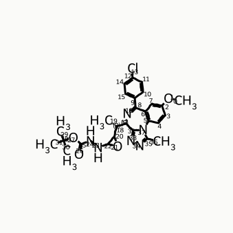 COc1ccc2c(c1)C(c1ccc(Cl)cc1)=N[C@@H]([C@@H](C)C1OC1NNC(=O)OC(C)(C)C)c1nnc(C)n1-2